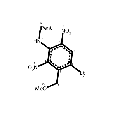 CCCC(C)Nc1c([N+](=O)[O-])cc(CC)c(COC)c1[N+](=O)[O-]